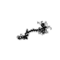 CC(=N)n1c(=N)[n+](CCC(=O)NCCCCCCCCCCC(=O)N2CCC(c3ccc(OC4CCCC(=O)NC4=O)cc3)CC2)c(-c2ccc(C)cc2)c2c(C)c(C)sc21